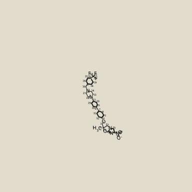 C[C@]1(COc2ccc(-c3ccc(N4CCN(Cc5ccc(C(F)(F)F)cc5)CC4)cc3)cc2)Cn2cc([N+](=O)[O-])nc2O1